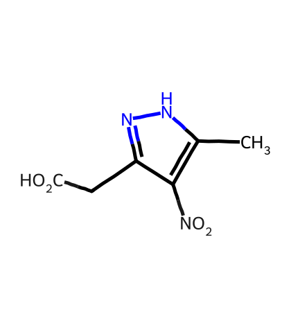 Cc1[nH]nc(CC(=O)O)c1[N+](=O)[O-]